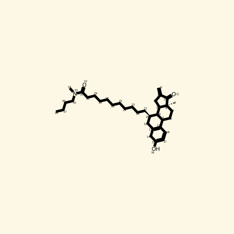 C=C1CC2C3C(CC[C@]2(C)C1=O)C1=C(CC(O)=C=C1)C[C@H]3CCCCCCCCCCC(=O)N(C)CCCC